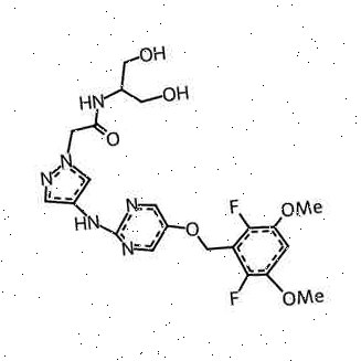 COc1cc(OC)c(F)c(COc2cnc(Nc3cnn(CC(=O)NC(CO)CO)c3)nc2)c1F